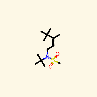 C/C(=C/CN(C(C)(C)C)S(C)(=O)=O)C(C)(C)C